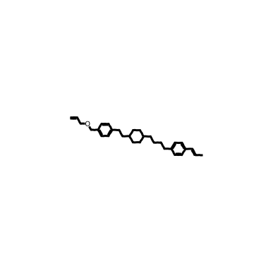 C=CCOCc1ccc(CCC2CCC(CCCCc3ccc(C=CC)cc3)CC2)cc1